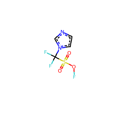 O=S(=O)(OF)C(F)(F)n1ccnc1